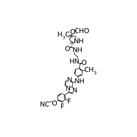 Cc1cc(Nc2nccn3c(-c4ccc(OCC#N)c(F)c4F)cnc23)ccc1C(=O)NCCNC(=O)[C@@H]1C[C@](C)(OC=O)CN1